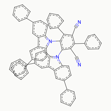 N#Cc1c(-c2ccccc2)c(C#N)c(-n2c3ccc(-c4ccccc4)cc3c3cc(-c4ccccc4)ccc32)c(-n2c3ccc(-c4ccccc4)cc3c3cc(-c4ccccc4)ccc32)c1-c1ccccc1